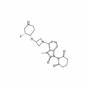 Cn1c(=O)n(N2C(=O)CCCC2=O)c2cccc(N3CC(O[C@H]4CCNC[C@H]4F)C3)c21